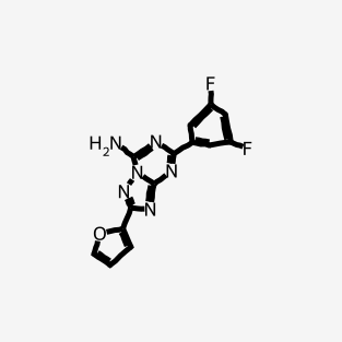 Nc1nc(-c2cc(F)cc(F)c2)nc2nc(-c3ccco3)nn12